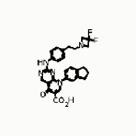 O=C(O)c1cn(-c2ccc3c(c2)CCC3)c2nc(Nc3ccc(CCN4CC(F)(F)C4)cc3)ncc2c1=O